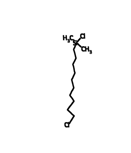 C[Si](C)(Cl)CCCCCCCCCCCl